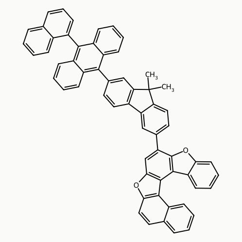 CC1(C)c2ccc(-c3cc4oc5ccc6ccccc6c5c4c4c3oc3ccccc34)cc2-c2ccc(-c3c4ccccc4c(-c4cccc5ccccc45)c4ccccc34)cc21